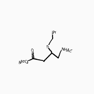 COC(=O)CC(CNC(C)=O)SCC(C)C